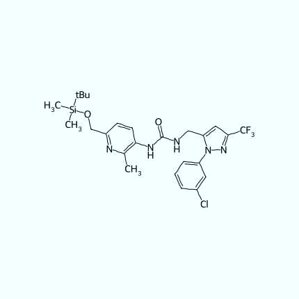 Cc1nc(CO[Si](C)(C)C(C)(C)C)ccc1NC(=O)NCc1cc(C(F)(F)F)nn1-c1cccc(Cl)c1